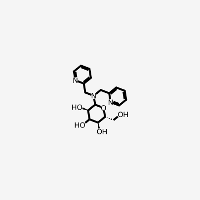 OC[C@H]1OC(N(Cc2ccccn2)Cc2ccccn2)[C@H](O)C(O)[C@@H]1O